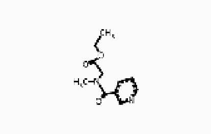 CCOC(=O)CN(C)C(=O)c1cccnc1